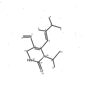 C=NC1=C(/C=C(\C)C(C)C)N(C(C)C)C(=O)NC1